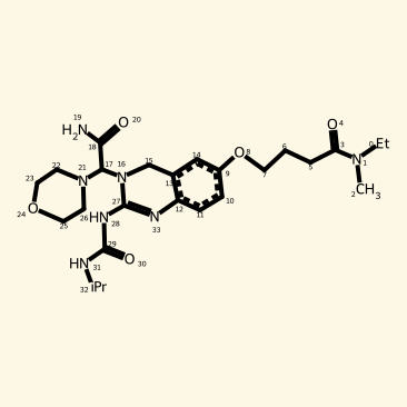 CCN(C)C(=O)CCCOc1ccc2c(c1)CN(C(C(N)=O)N1CCOCC1)C(NC(=O)NC(C)C)=N2